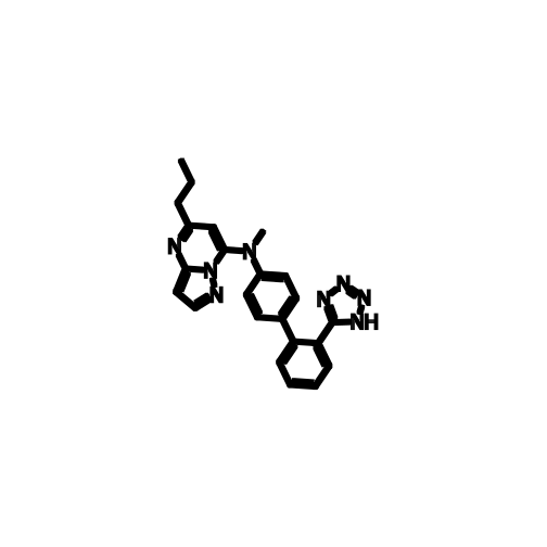 CCCc1cc(N(C)c2ccc(-c3ccccc3-c3nnn[nH]3)cc2)n2nccc2n1